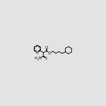 NC(=S)C(C(=O)OCCCCC1CCCCC1)c1ccccn1